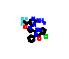 Nc1ncc(C(=O)C(F)(F)F)c(N2CC[C@H]2c2nn3ccc(Cl)c3c(=O)n2-c2ccccc2)n1